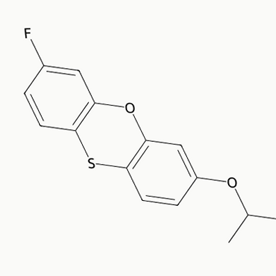 CC(C)Oc1ccc2c(c1)Oc1cc(F)ccc1S2